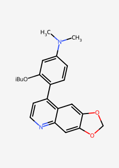 CC(C)COc1cc(N(C)C)ccc1-c1ccnc2cc3c(cc12)OCO3